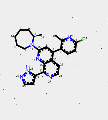 Cc1nc(F)ccc1-c1cc(N2CCCCC[C@H]2C)nc2c(-c3ccn[nH]3)nccc12